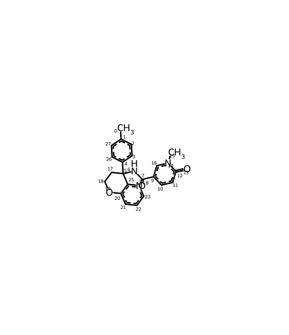 Cc1ccc(C2(NC(=O)c3ccc(=O)n(C)c3)CCOc3cccnc32)cc1